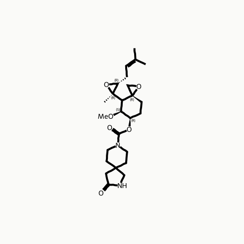 CO[C@H]1C([C@@]2(C)O[C@@H]2CC=C(C)C)[C@]2(CC[C@H]1OC(=O)N1CCC3(CC1)CNC(=O)C3)CO2